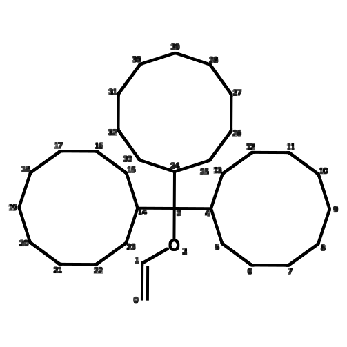 C=COC(C1CCCCCCCCC1)(C1CCCCCCCCC1)C1CCCCCCCCC1